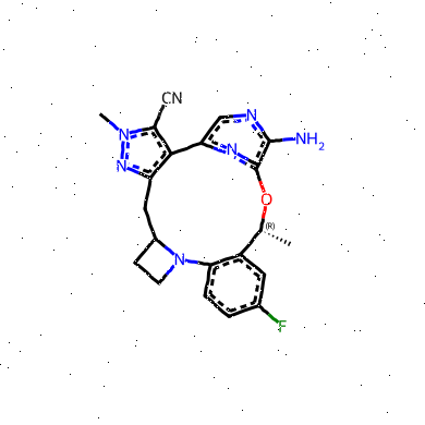 C[C@H]1Oc2nc(cnc2N)-c2c(nn(C)c2C#N)CC2CCN2c2ccc(F)cc21